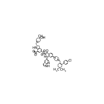 CC1(C)CCC(CN2CCN(c3ccc(C(=O)NS(=O)(=O)c4cc5c(c([N+](=O)[O-])c4)N[C@@H](CN4CCC(C)(O)CC4)C5)c(Oc4cnc5[nH]ccc5c4)c3)CC2)=C(c2ccc(Cl)cc2)C1